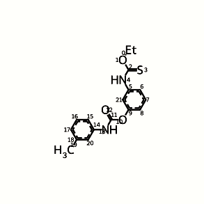 CCOC(=S)Nc1cccc(OC(=O)Nc2cccc(C)c2)c1